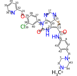 CN1CCN(Cc2ccc(NC(=O)c3sc4ncnc5c4c3NC(=O)N5c3ccc(OCc4ccccn4)c(Cl)c3)cc2)CC1